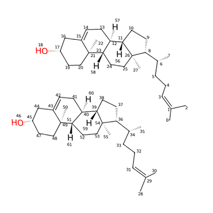 CC(C)=CCC[C@@H](C)[C@H]1CC[C@H]2[C@@H]3CC=C4C[C@@H](O)CC[C@]4(C)[C@H]3CC[C@]12C.CC(C)=CCC[C@@H](C)[C@H]1CC[C@H]2[C@@H]3CC=C4C[C@@H](O)CC[C@]4(C)[C@H]3CC[C@]12C